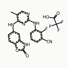 Cc1cnc(Nc2cccc(C#N)c2F)nc1Nc1ccc2oc(=O)[nH]c2c1.O=C(O)C(F)(F)F